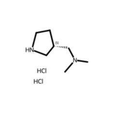 CN(C)C[C@H]1CCNC1.Cl.Cl